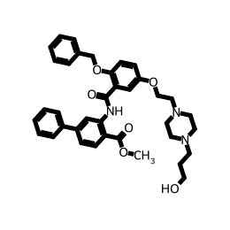 COC(=O)c1ccc(-c2ccccc2)cc1NC(=O)c1cc(OCCN2CCN(CCCO)CC2)ccc1OCc1ccccc1